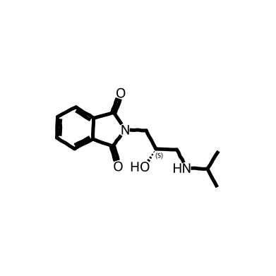 CC(C)NC[C@H](O)CN1C(=O)c2ccccc2C1=O